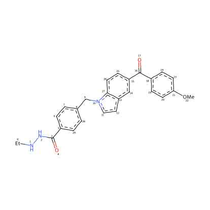 CCNNC(=O)c1ccc(Cn2ccc3cc(C(=O)c4ccc(OC)cc4)ccc32)cc1